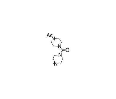 CC(=O)N1CCN(C(=O)N2CC[N]CC2)CC1